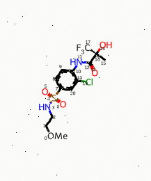 COCCNS(=O)(=O)c1ccc(NC(=O)[C@@](C)(O)C(F)(F)F)c(Cl)c1